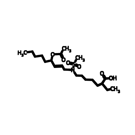 CCCCCC(C=CCN(CCCCCC(CC)C(=O)O)S(C)(=O)=O)OC(C)=O